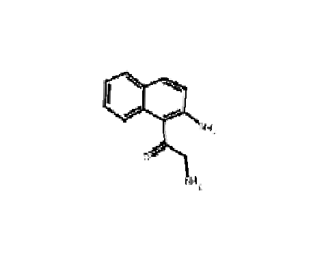 NCC(=O)c1c(N)ccc2ccccc12